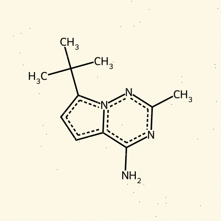 Cc1nc(N)c2ccc(C(C)(C)C)n2n1